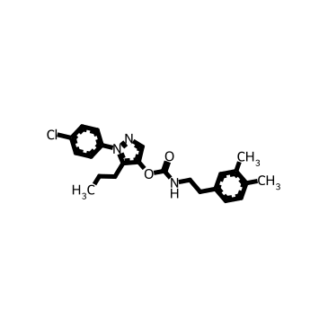 CCCc1c(OC(=O)NCCc2ccc(C)c(C)c2)cnn1-c1ccc(Cl)cc1